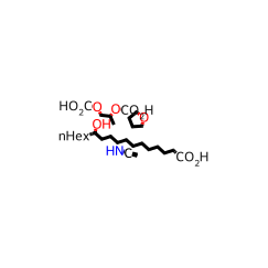 C1CCOC1.C=C=N.CC(COC(=O)O)OC(=O)O.CCCCCCC(O)CCCCCCCCCCC(=O)O